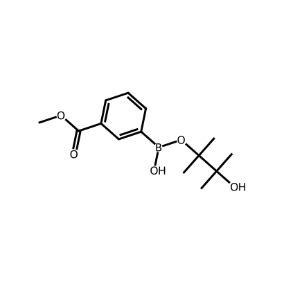 COC(=O)c1cccc(B(O)OC(C)(C)C(C)(C)O)c1